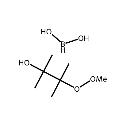 COOC(C)(C)C(C)(C)O.OBO